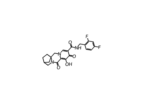 O=C(NCc1ccc(F)cc1F)c1cn2c(c(O)c1=O)C(=O)N1CC3CCC1(C3)C2